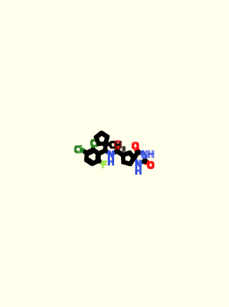 CC1(C(NC(=O)C2CCC3(C2)NC(=O)NC3=O)c2c(F)ccc(Cl)c2Cl)CCCC1